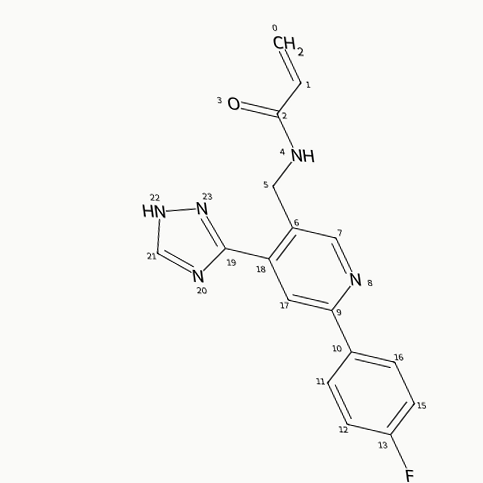 C=CC(=O)NCc1cnc(-c2ccc(F)cc2)cc1-c1nc[nH]n1